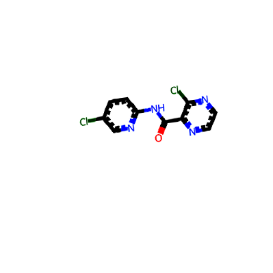 O=C(Nc1ccc(Cl)cn1)c1nccnc1Cl